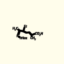 CCCCCCN=C(C)C(CC)CCC(C)C(=O)O